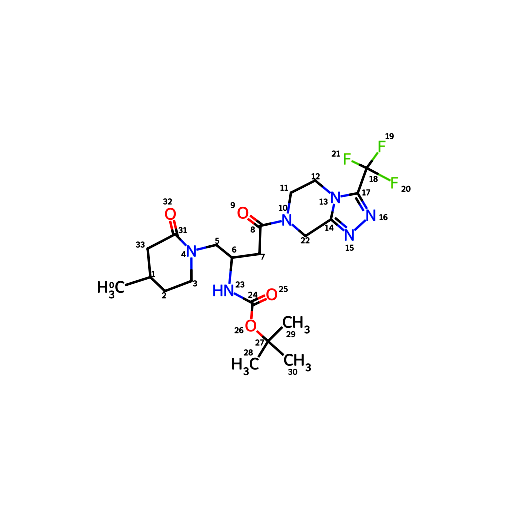 CC1CCN(CC(CC(=O)N2CCn3c(nnc3C(F)(F)F)C2)NC(=O)OC(C)(C)C)C(=O)C1